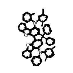 Cc1ccc(C)c(N(c2ccccc2)c2cc3c(c4oc5ccccc5c24)-c2c(cc(N(c4ccccc4C)c4cc(C)ccc4C)c4c2oc2ccccc24)C3(c2ccccc2)c2ccccc2)c1